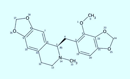 COc1c(C[C@@H]2c3cc4c(cc3CCN2C)OCO4)ccc2c1OCO2